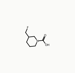 O=C(O)N1CCCC(CF)C1